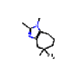 BC1(C)CCCc2c(nc(C)n2C)C1